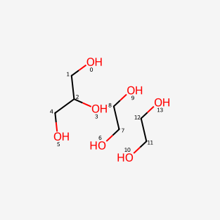 OCC(O)CO.OCCO.OCCO